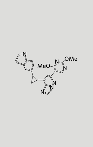 COc1ncc(-c2cc(C3CC3c3ccc4ncccc4c3)c3nccn3n2)c(OC)n1